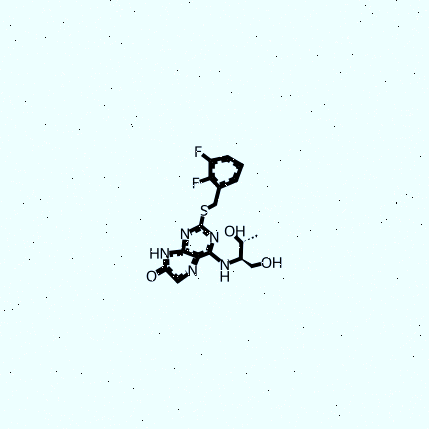 C[C@@H](O)[C@@H](CO)Nc1nc(SCc2cccc(F)c2F)nc2[nH]c(=O)cnc12